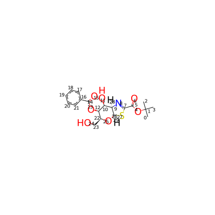 CC(C)(C)OC(=O)C1=N[C@@H]2[C@H](O)[C@H](OC(=O)c3ccccc3)[C@H](CO)O[C@@H]2S1